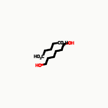 O=C(O)CCCC(=O)O.OCCCCCCO